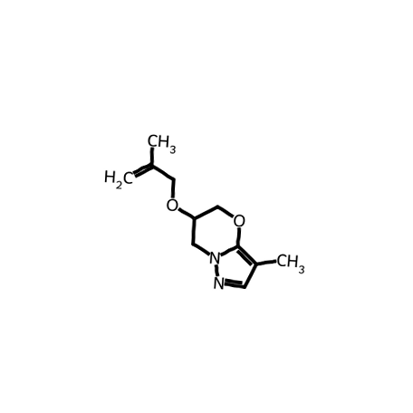 C=C(C)COC1COc2c(C)cnn2C1